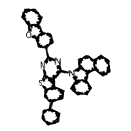 c1ccc(-c2ccc3c(c2)sc2nc(-c4ccc5c(c4)oc4ccccc45)nc(-n4c5ccccc5c5c6ccccc6ccc54)c23)cc1